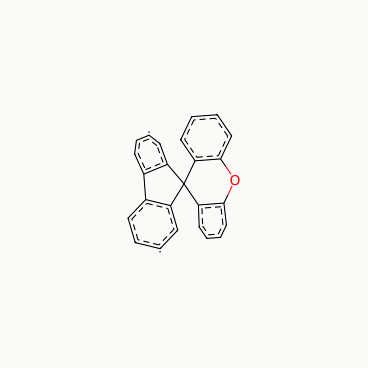 [c]1ccc2c(c1)C1(c3ccccc3Oc3ccccc31)c1c[c]ccc1-2